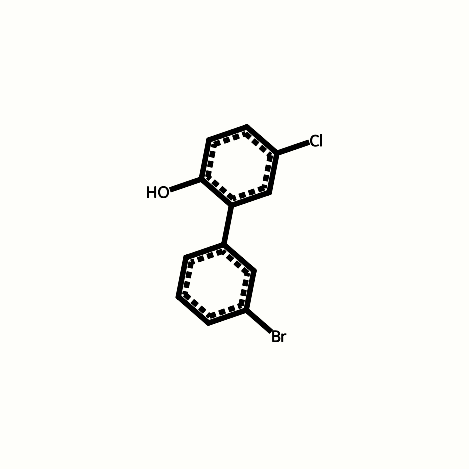 Oc1ccc(Cl)cc1-c1cccc(Br)c1